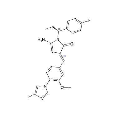 CC[C@@H](c1ccc(F)cc1)N1C(=O)/C(=C/c2ccc(-n3cnc(C)c3)c(OC)c2)N=C1N